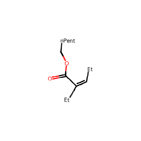 CCC=C(CC)C(=O)OCCCCCC